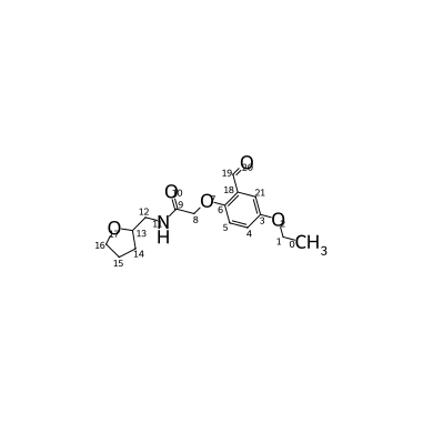 CCOc1ccc(OCC(=O)NCC2CCCO2)c(C=O)c1